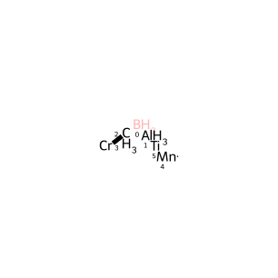 B.[AlH3].[CH3][Cr].[Mn].[Ti]